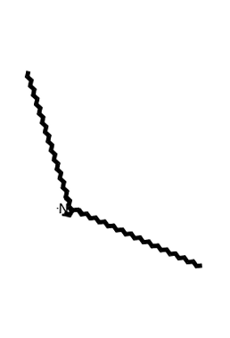 CCCCCCCCCCCCCCCCCCCCCCCCCCCC=CC1=C(C=CCCCCCCCCCCCCCCCCCCCCCCCCCCC)[N]C=C1